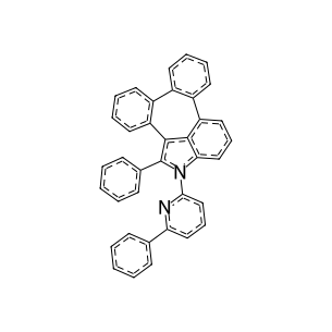 c1ccc(-c2cccc(-n3c(-c4ccccc4)c4c5c(cccc53)-c3ccccc3-c3ccccc3-4)n2)cc1